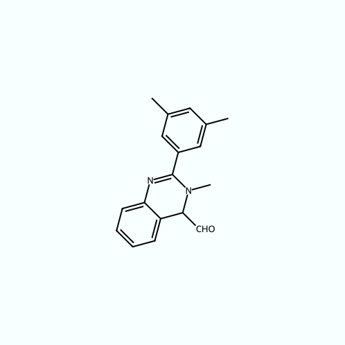 Cc1cc(C)cc(C2=Nc3ccccc3C(C=O)N2C)c1